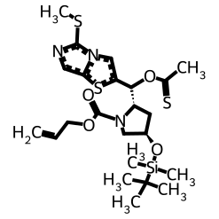 C=CCOC(=O)N1C[C@H](O[Si](C)(C)C(C)(C)C)C[C@H]1C(OC(C)=S)c1cn2c(SC)ncc2s1